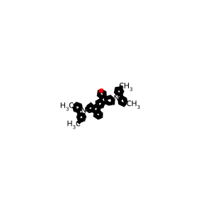 Cc1ccc2c(c1)c1cc(C)ccc1n2-c1ccc2c(c1)c1ccccc1c1cc3c4ccc(-n5c6ccc(C)cc6c6cc(C)ccc65)cc4c4ccccc4c3cc21